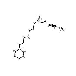 CC#CCCN(C)CCCOCCCN1CCCCC1